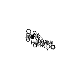 CCC[C@@H](NC(=O)[C@@H]1C2CCC[C@H]2CN1C(=O)[C@@H](NC(=O)[C@H](NS(C)(=O)=O)C1CCCCC1)C(C)(C)C)C(=O)C(=O)N[C@@H](C)c1ccccc1